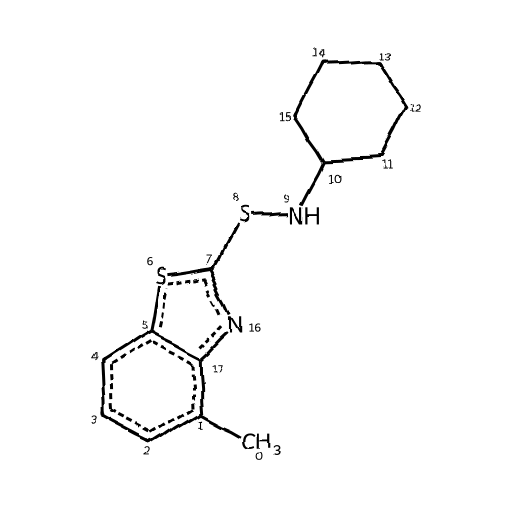 Cc1cccc2sc(SNC3CCCCC3)nc12